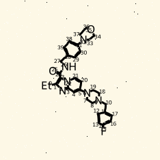 CCc1nc2cc(N3CCN(Cc4ccc(F)cc4)CC3)ccn2c1C(=O)NCc1ccc(N2CCOCC2)cc1